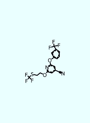 N#Cc1cc(OCCSC(F)(F)F)nc(Oc2cccc(C(F)(F)F)c2)c1